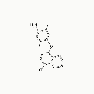 Cc1cc(Oc2ccc(Cl)c3ccccc23)c(C)cc1N